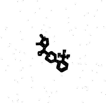 CC1=C(C(=O)N2CCC(c3ccccc3C(F)(F)F)CC2)CCN1C